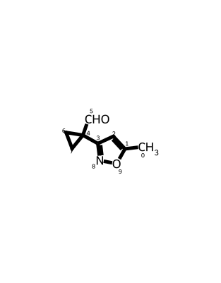 Cc1cc(C2(C=O)CC2)no1